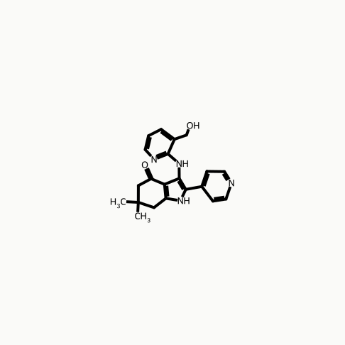 CC1(C)CC(=O)c2c([nH]c(-c3ccncc3)c2Nc2ncccc2CO)C1